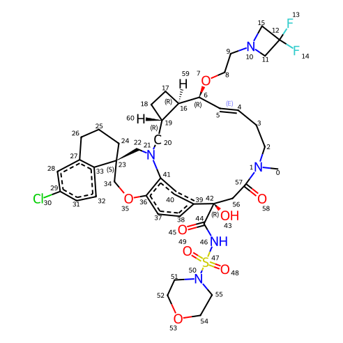 CN1CC/C=C/[C@H](OCCN2CC(F)(F)C2)[C@@H]2CC[C@H]2CN2C[C@@]3(CCCc4cc(Cl)ccc43)COc3ccc(cc32)[C@@](O)(C(=O)NS(=O)(=O)N2CCOCC2)CC1=O